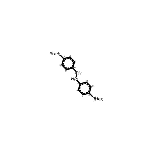 CCCCCCc1ccc(PPc2ccc(CCCCCC)cc2)cc1